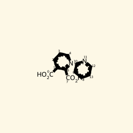 O=C(O)c1cccnc1C(=O)O.c1ccncc1